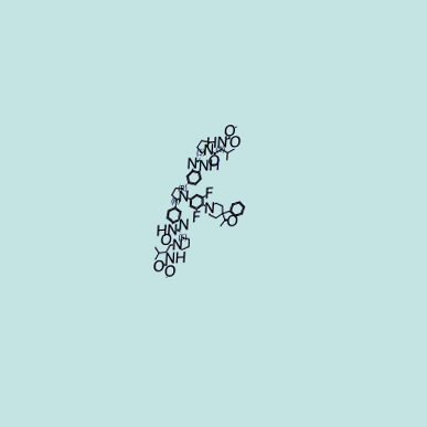 COC(=O)NC(C(=O)N1CCC[C@H]1c1nc2cc([C@H]3CC[C@H](c4ccc5[nH]c([C@@H]6CCCN6C(=O)[C@@H](NC(=O)OC)C(C)C)nc5c4)N3c3cc(F)c(N4CCC(C(C)=O)(c5ccccc5)CC4)c(F)c3)ccc2[nH]1)C(C)C